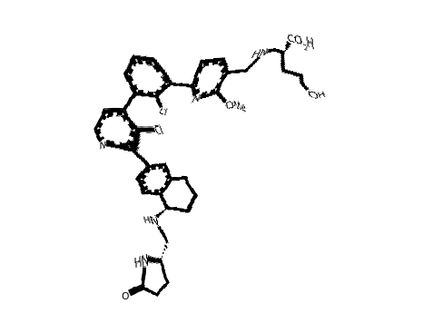 COc1nc(-c2cccc(-c3ccnc(-c4ccc5c(c4)CCC[C@H]5NC[C@@H]4CCC(=O)N4)c3Cl)c2Cl)ccc1CN[C@H](CCO)C(=O)O